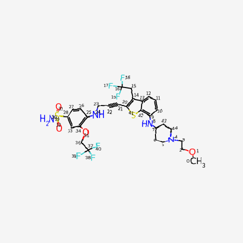 COCCN1CCC(Nc2cccc3c(CC(F)(F)F)c(C#CCNc4ccc(S(N)(=O)=O)cc4OCC(F)(F)F)sc23)CC1